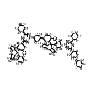 c1ccc(-c2ccc(-c3nc(-c4ccccc4)nc(-c4ccc5c(c4)Oc4ccc(-c6ccc(-c7nc(-c8ccccc8)nc(-c8ccc9c(c8)Oc8ccccc8C98c9ccccc9-c9ccccc98)n7)cc6)cc4C54c5ccccc5-c5ccccc54)n3)cc2)cc1